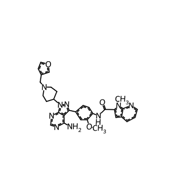 COc1cc(-c2nn(C3CCN(Cc4ccoc4)CC3)c3ncnc(N)c23)ccc1NC(=O)c1cc2cccnc2n1C